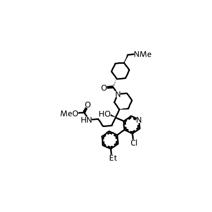 CCc1cccc(-c2c(Cl)cncc2[C@](O)(CCCNC(=O)OC)[C@@H]2CCCN(C(=O)[C@H]3CC[C@H](CNC)CC3)C2)c1